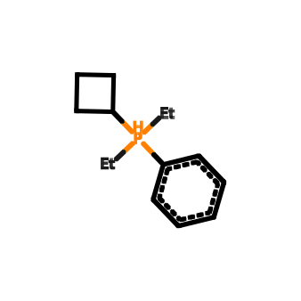 CC[PH](CC)(c1ccccc1)C1CCC1